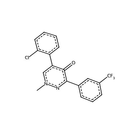 Cn1cc(-c2ccccc2Cl)c(=O)c(-c2cccc(C(F)(F)F)c2)n1